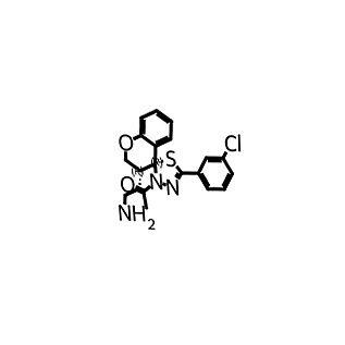 CC(=O)N1N=C(c2cccc(Cl)c2)S[C@]12c1ccccc1OC[C@H]2CCN